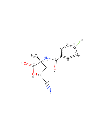 C[C@](CCC#N)(NC(=O)c1ccc(F)cc1)C(=O)O